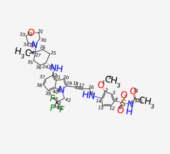 COc1cc(S(=O)(=O)NC(C)=O)ccc1NCC#Cc1cc2c(N[C@H]3CC[C@@](C)(N4CCOCC4)CC3)cccc2n1CC(F)(F)F